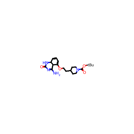 CC(C)(C)OC(=O)N1CCC(CCOC2=CC=CC3NC(=O)N=C(N)C23)CC1